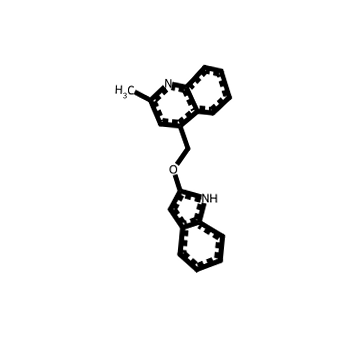 Cc1cc(COc2cc3c[c]ccc3[nH]2)c2ccccc2n1